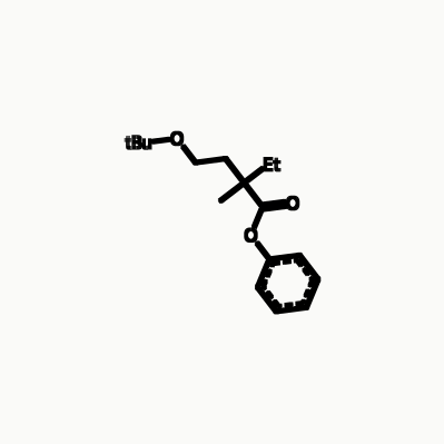 CCC(C)(CCOC(C)(C)C)C(=O)Oc1ccccc1